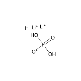 O=P([O-])(O)O.[I-].[Li+].[Li+]